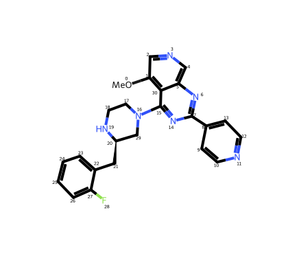 COc1cncc2nc(-c3ccncc3)nc(N3CCN[C@H](Cc4ccccc4F)C3)c12